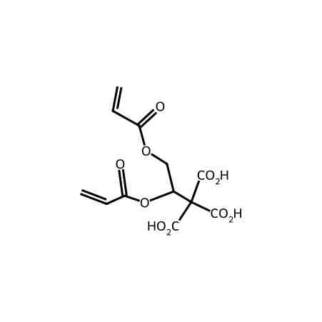 C=CC(=O)OCC(OC(=O)C=C)C(C(=O)O)(C(=O)O)C(=O)O